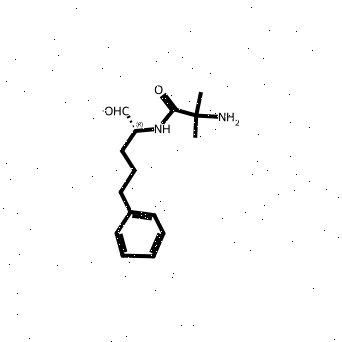 CC(C)(N)C(=O)N[C@@H]([C]=O)CCCc1ccccc1